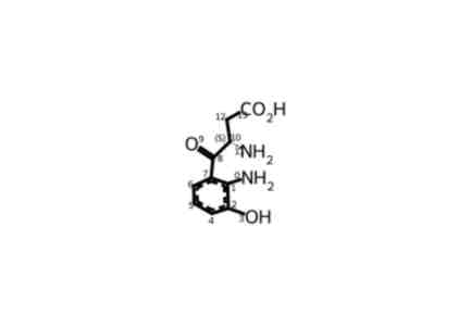 Nc1c(O)cccc1C(=O)[C@@H](N)CC(=O)O